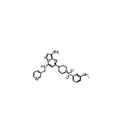 Bc1cnn2c(NCc3cccnc3)cc(C3CCN(S(=O)(=O)c4cccc(N)c4)CC3)nc12